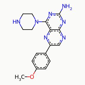 COc1ccc(-c2cnc3nc(N)nc(N4CCNCC4)c3n2)cc1